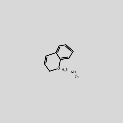 B.C1=Cc2ccccc2OC1.[AlH3].[Zn]